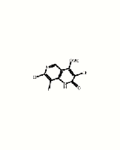 CCc1c(OC)c2cnc(Cl)c(F)c2[nH]c1=O